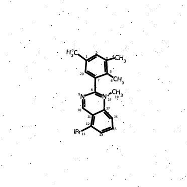 Cc1cc(C)c(C)c(-c2ncc3c(C(C)C)cccc3[n+]2C)c1